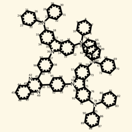 c1ccc(N(c2ccccc2)c2ccc3c(c2)c2cc(N(c4ccccc4)c4ccccc4)ccc2n3-c2ccc(-c3nc4ccccc4nc3-c3ccc(-n4c5ccc(N(c6ccccc6)c6ccccc6)cc5c5cc(N(c6ccccc6)c6ccccc6)ccc54)cc3)cc2)cc1